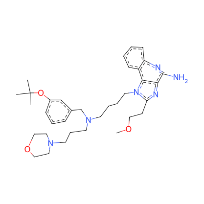 COCCc1nc2c(N)nc3ccccc3c2n1CCCCN(CCCN1CCOCC1)Cc1cccc(OC(C)(C)C)c1